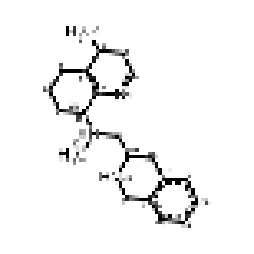 CC1CC=NC2=C1CCC[C@@H]2N(C)CC1Cc2ccccc2CN1